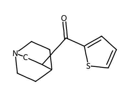 O=C(c1cccs1)C1CN2CCC1CC2